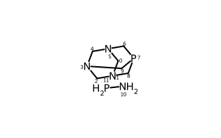 C1N2CN3CN1CP(C2)C3.NP